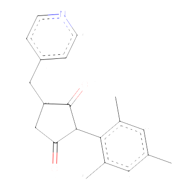 Cc1cc(C)c(C2C(=O)CC(Cc3ccncc3)C2=O)c(C)c1